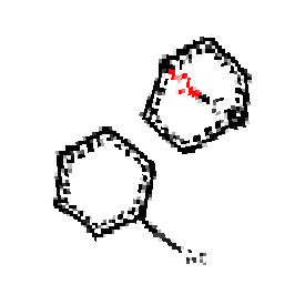 CC(=O)c1ccccc1.c1cc2ccc1CO2